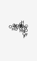 O=C(Nc1ccc(F)c(F)c1)c1c(Cl)c(NS(=O)(=O)N2C3CCC34C2C[C@]4(O)c2cc(-c3ccccc3)on2)c2n1CCCC2